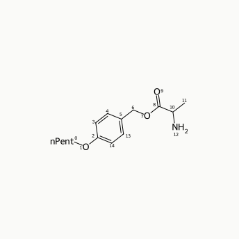 CCCCCOc1ccc(COC(=O)C(C)N)cc1